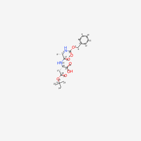 C[C@H](NC(=O)OCc1ccccc1)C(=O)N[C@@H](CC(=O)OC(C)(C)C)C(=O)O